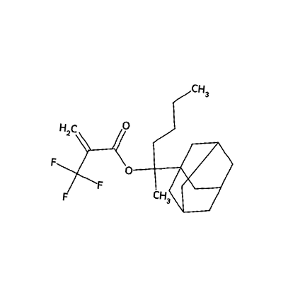 C=C(C(=O)OC(C)(CCCC)C12CC3CC(CC(C3)C1)C2)C(F)(F)F